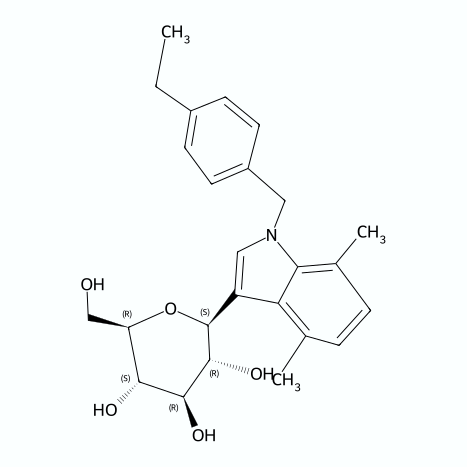 CCc1ccc(Cn2cc([C@@H]3O[C@H](CO)[C@@H](O)[C@H](O)[C@H]3O)c3c(C)ccc(C)c32)cc1